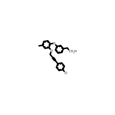 Cc1ccc(Oc2cccc(CC(=O)O)c2)c(OCC#Cc2ccc(Cl)cc2)c1